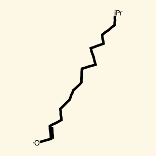 CC(C)CCCCCCCCCCCC=C[O]